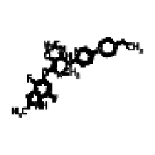 C=N/C(Oc1cc(F)c2[nH]c(C)cc2c1F)=C(OC)\C(=N/C)Nc1ccc(N2CCN(CC)CC2)cn1